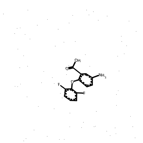 Nc1ccc(Oc2c(F)cccc2F)c(C(=O)O)c1